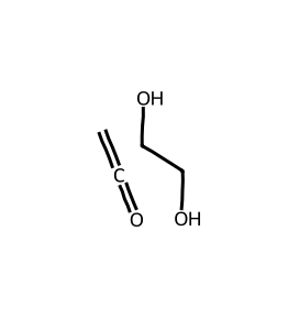 C=C=O.OCCO